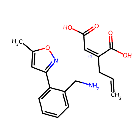 C=CC/C(=C/C(=O)O)C(=O)O.Cc1cc(-c2ccccc2CN)no1